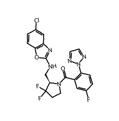 O=C(c1cc(F)ccc1-n1nccn1)N1CCC(F)(F)[C@H]1CNc1nc2cc(Cl)ccc2o1